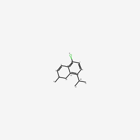 CC1C=Cc2c(Cl)ccc(C(C)C)c2C1